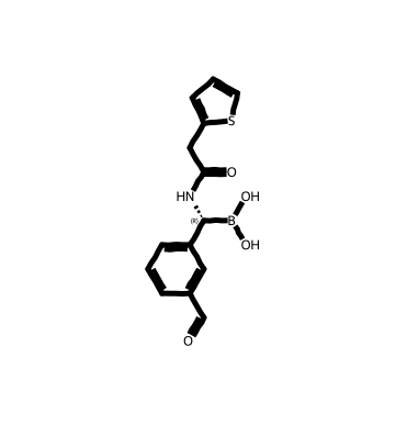 O=Cc1cccc([C@H](NC(=O)Cc2cccs2)B(O)O)c1